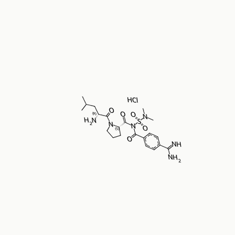 CC(C)C[C@@H](N)C(=O)N1CCC[C@H]1C(=O)N(C(=O)c1ccc(C(=N)N)cc1)S(=O)(=O)N(C)C.Cl